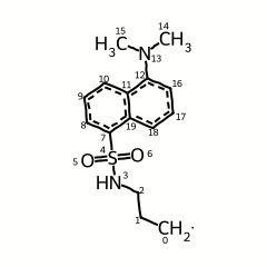 [CH2]CCNS(=O)(=O)c1cccc2c(N(C)C)cccc12